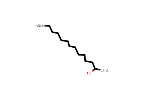 CCCCCCCCCCCCCCCCCCCCC(O)C=O